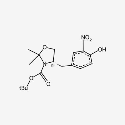 CC(C)(C)OC(=O)N1[C@@H](Cc2ccc(O)c([N+](=O)[O-])c2)COC1(C)C